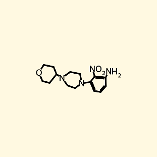 Nc1cccc(N2CCN(C3CCOCC3)CC2)c1[N+](=O)[O-]